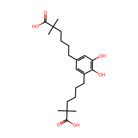 CC(C)(CCCCc1cc(O)c(O)c(CCCCC(C)(C)C(=O)O)c1)C(=O)O